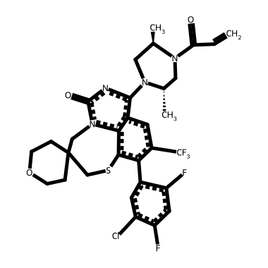 C=CC(=O)N1C[C@H](C)N(c2nc(=O)n3c4c(c(-c5cc(Cl)c(F)cc5F)c(C(F)(F)F)cc24)SCC2(CCOCC2)C3)C[C@H]1C